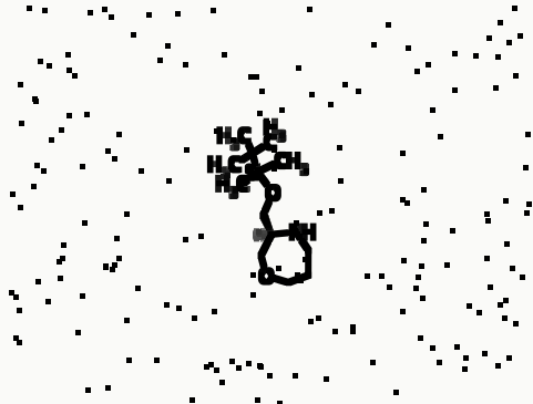 CC(C)(C)[Si](C)(C)OC[C@@H]1COCCCN1